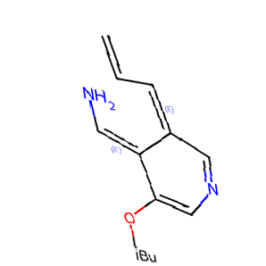 C=C/C=c1/cncc(OC(C)CC)/c1=C/N